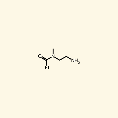 CCC(=O)N(C)CCN